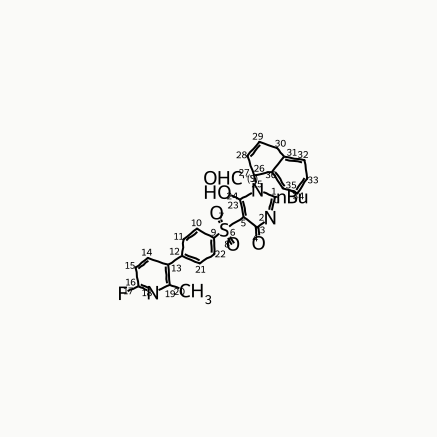 CCCCc1nc(=O)c(S(=O)(=O)c2ccc(-c3ccc(F)nc3C)cc2)c(O)n1[C@@]1(C=O)C=CCc2ccccc21